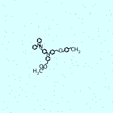 C=CC(=O)OCCc1ccc(N(c2ccc(C=NN(c3ccccc3)c3ccccc3)cc2)c2ccc(CCOCc3ccc(C=C)cc3)cc2)cc1